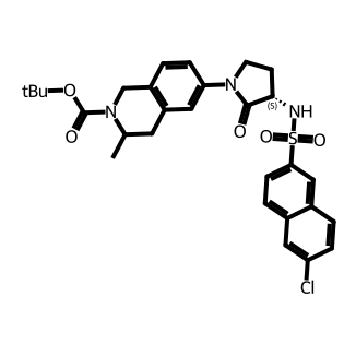 CC1Cc2cc(N3CC[C@H](NS(=O)(=O)c4ccc5cc(Cl)ccc5c4)C3=O)ccc2CN1C(=O)OC(C)(C)C